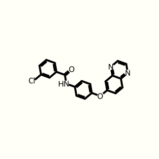 O=C(Nc1ccc(Oc2ccc3nccnc3c2)cc1)c1cccc(Cl)c1